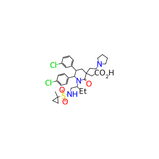 CCC(CNS(=O)(=O)C1(C)CC1)N1C(=O)C(CCN2CCCC2)(CC(=O)O)CC(c2cccc(Cl)c2)C1c1ccc(Cl)cc1